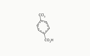 O=C(O)c1ccc(C(Cl)(Cl)Cl)cc1